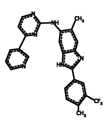 Cc1cc2nc(-c3ccc(C)c(C(F)(F)F)c3)[nH]c2cc1Nc1nccc(-c2cccnc2)n1